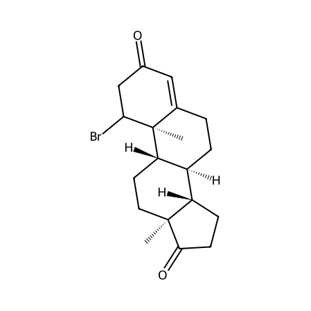 C[C@]12CC[C@H]3[C@@H](CCC4=CC(=O)CC(Br)[C@@]43C)[C@@H]1CCC2=O